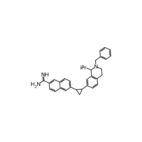 CC(C)C1c2cc(C3CC3c3ccc4cc(C(=N)N)ccc4c3)ccc2CCN1Cc1ccccc1